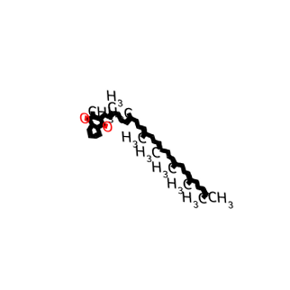 CC(C)=CCC/C(C)=C/CC/C(C)=C/CC/C(C)=C/CC/C(C)=C/CC/C(C)=C/CC/C(C)=C/CC1=C(C)C(=O)C2C=CC=CC2C1=O